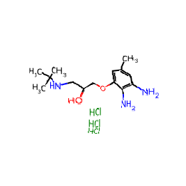 Cc1cc(N)c(N)c(OCC(O)CNC(C)(C)C)c1.Cl.Cl.Cl